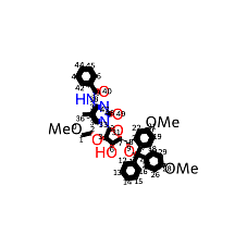 COCCOC1C(O)[C@@H](COC(c2ccccc2)(c2ccc(OC)cc2)c2ccc(OC)cc2)O[C@H]1n1cc(C)c(NC(=O)c2ccccc2)nc1=O